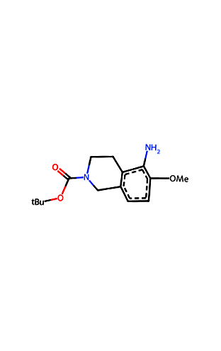 COc1ccc2c(c1N)CCN(C(=O)OC(C)(C)C)C2